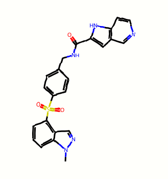 Cn1ncc2c(S(=O)(=O)c3ccc(CNC(=O)c4cc5cnccc5[nH]4)cc3)cccc21